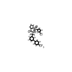 CC(C)(NC(=O)[C@@H]1CCCN1S(=O)(=O)c1ccc(Cl)s1)c1cccc(-c2ccc(C(F)(F)F)cc2)c1